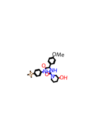 COc1ccc(C(NC(=O)N2CCCC(O)C2)C(=O)Nc2ccc(S(C)(C)C)cc2)cc1